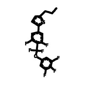 CCCc1ccc(-c2cc(F)c(C(F)(F)Oc3cc(F)c(F)c(F)c3)c(F)c2)s1